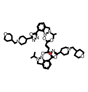 CC(C)N1Cc2cccc(-c3nnc(C4CCN(CC5CCOCC5)CC4)o3)c2N1OC(=O)/C=C/C(=O)ON1c2c(cccc2-c2nnc(C3CCN(CC4CCOCC4)CC3)o2)CN1C(C)C